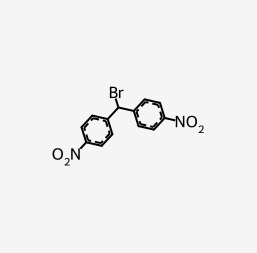 O=[N+]([O-])c1ccc(C(Br)c2ccc([N+](=O)[O-])cc2)cc1